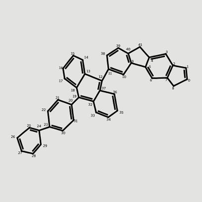 C1=Cc2cc3c(cc2C1)-c1cc(-c2c4ccccc4c(-c4ccc(-c5ccccc5)cc4)c4ccccc24)ccc1C3